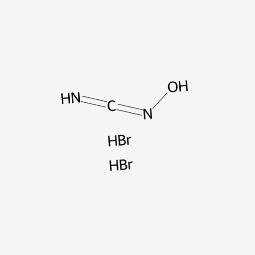 Br.Br.N=C=NO